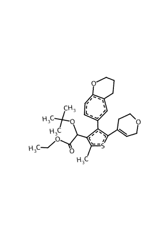 CCOC(=O)C(OC(C)(C)C)c1c(C)sc(C2=CCOCC2)c1-c1ccc2c(c1)CCCO2